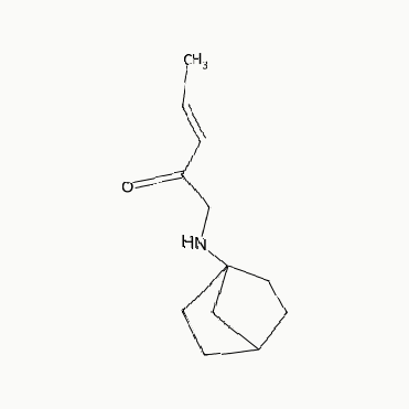 CC=CC(=O)CNC12CCC(CC1)C2